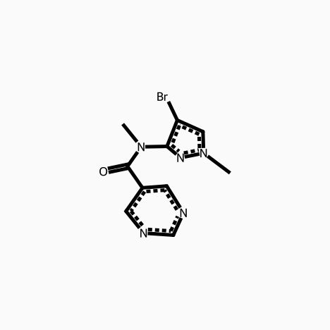 CN(C(=O)c1cncnc1)c1nn(C)cc1Br